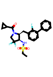 CCS(=O)(=O)N[C@@H]1[C@H](Cc2cccc(-c3ccccc3)c2F)N(C(=O)C2CC2)CC1(F)F